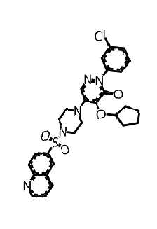 O=c1c(OC2CCCC2)c(N2CCN(S(=O)(=O)c3ccc4ncccc4c3)CC2)cnn1-c1cccc(Cl)c1